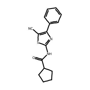 N#Cc1sc(NC(=O)C2CCCC2)nc1-c1ccccc1